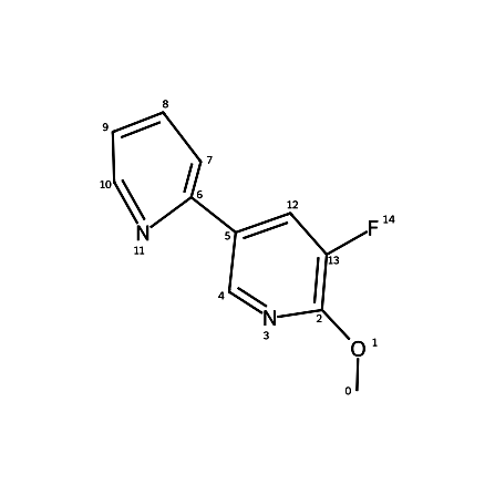 COc1ncc(-c2ccccn2)cc1F